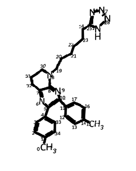 Cc1ccc(-c2nc3c(nc2-c2ccc(C)cc2)N(CCCCCCc2nnn[nH]2)CCC3)cc1